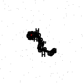 [N-]=[N+]=NCOC1C[C@H](n2cc(C#CCNC(=O)COCCOC(COc3cccc(C(=O)NCCNC(=O)CCCCCCC(=O)c4cc5cc6c7c(c5oc4=O)CCCN7CCC6)c3)N=[N+]=[N-])c(=O)[nH]c2=O)O[C@@H]1COP(=O)(O)OP(=O)(O)OP(=O)(O)O